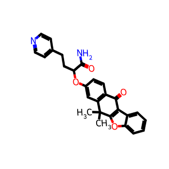 CC1(C)c2cc(OC(CCc3ccncc3)C(N)=O)ccc2C(=O)c2c1oc1ccccc21